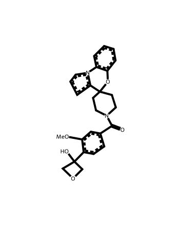 COc1cc(C(=O)N2CCC3(CC2)Oc2ccccc2-n2cccc23)ccc1C1(O)COC1